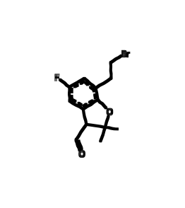 CC1(C)Oc2c(CCBr)cc(F)cc2C1C=O